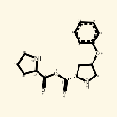 O=C(OC(=O)[C@@H]1C[C@@H](Oc2ccccc2)CN1)C1CCCN1